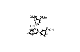 COc1ccc(Nc2cc(-c3cccc(CO)c3)cn3ncnc23)nc1OC